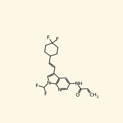 C=CC(=O)Nc1cnc2c(c1)c(C=CC1CCC(F)(F)CC1)cn2C(F)F